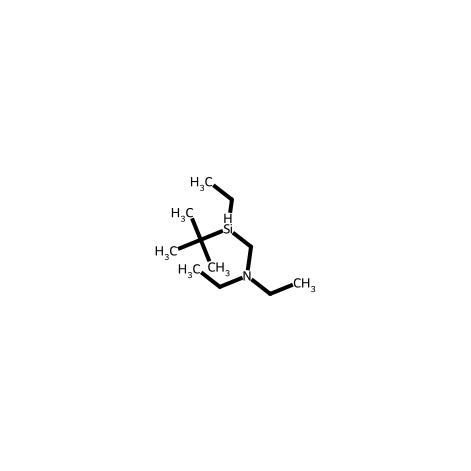 CCN(CC)C[SiH](CC)C(C)(C)C